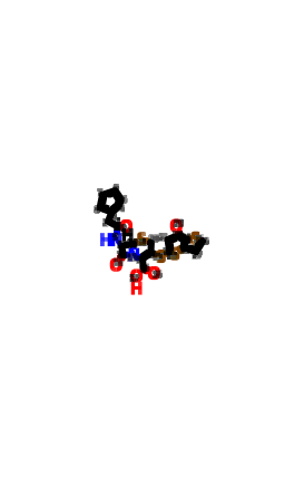 O=C(Cc1ccccc1)NC1C(=O)N2C(C(=O)O)=C(Sc3cc(=O)c4sccc4s3)CS[C@H]12